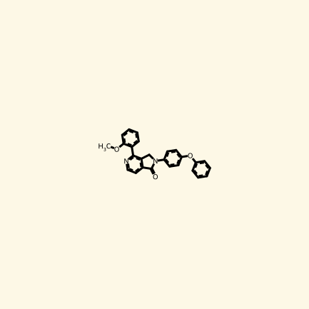 COc1ccccc1-c1nccc2c1CN(c1ccc(Oc3ccccc3)cc1)C2=O